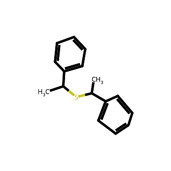 CC(SC(C)c1ccccc1)c1ccccc1